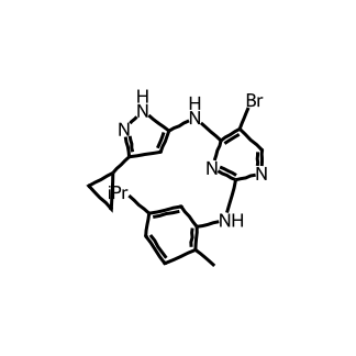 Cc1ccc(C(C)C)cc1Nc1ncc(Br)c(Nc2cc(C3CC3)n[nH]2)n1